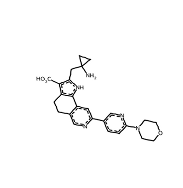 NC1(Cc2[nH]c3c(c2C(=O)O)CCc2cnc(-c4ccc(N5CCOCC5)nc4)cc2-3)CC1